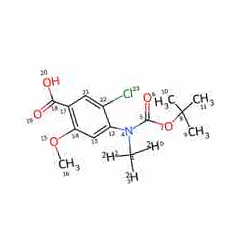 [2H]C([2H])([2H])N(C(=O)OC(C)(C)C)c1cc(OC)c(C(=O)O)cc1Cl